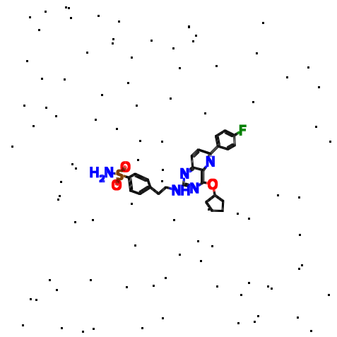 NS(=O)(=O)c1ccc(CCNc2nc(OC3CCCC3)c3nc(-c4ccc(F)cc4)ccc3n2)cc1